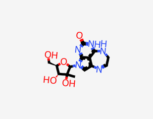 CC1(O)C(n2cc3c4c([nH]c(=O)nc42)NCC=N3)O[C@H](CO)[C@H]1O